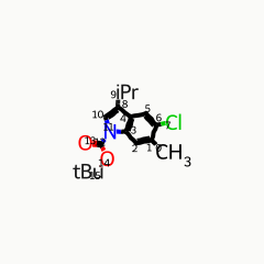 Cc1cc2c(cc1Cl)c(C(C)C)cn2C(=O)OC(C)(C)C